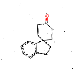 O=C1CCC2(CC1)CCc1ccccc12